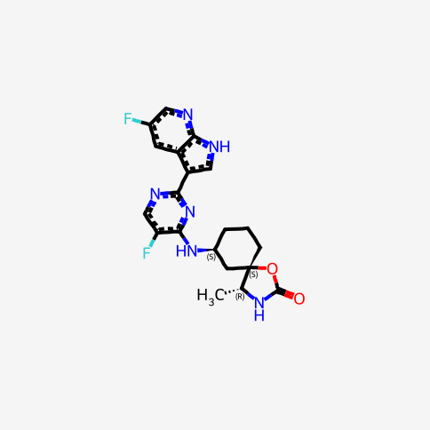 C[C@H]1NC(=O)O[C@]12CCC[C@H](Nc1nc(-c3c[nH]c4ncc(F)cc34)ncc1F)C2